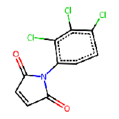 O=C1C=CC(=O)N1c1ccc(Cl)c(Cl)c1Cl